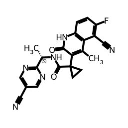 Cc1c(C2(C(=O)N[C@@H](C)c3ncc(C#N)cn3)CC2)c(=O)[nH]c2ccc(F)c(C#N)c12